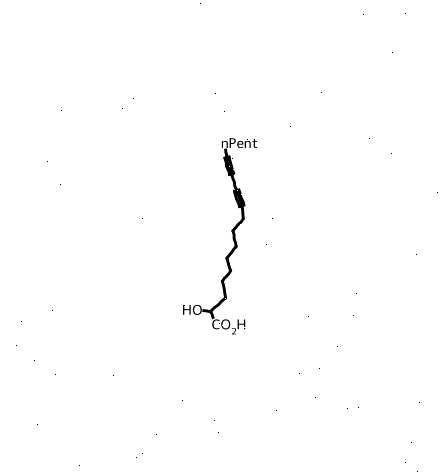 CCCCCC#CC#CCCCCCCCC(O)C(=O)O